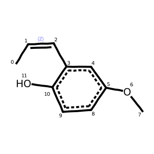 C/C=C\c1cc(OC)ccc1O